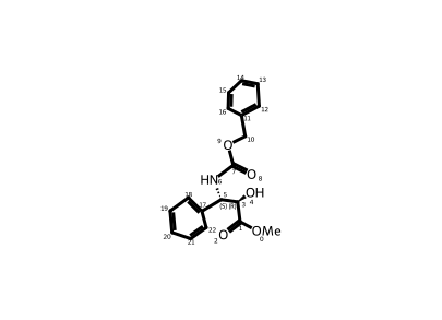 COC(=O)[C@H](O)[C@@H](NC(=O)OCc1ccccc1)c1ccccc1